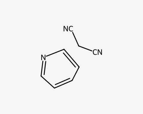 N#CCC#N.c1ccncc1